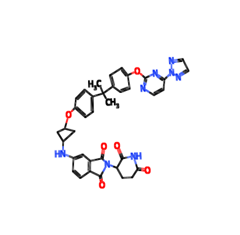 CC(C)(c1ccc(Oc2nccc(-n3nccn3)n2)cc1)c1ccc(OC2CC(Nc3ccc4c(c3)C(=O)N(C3CCC(=O)NC3=O)C4=O)C2)cc1